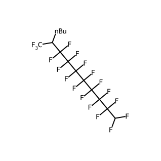 CCCCC(C(F)(F)F)C(F)(F)C(F)(F)C(F)(F)C(F)(F)C(F)(F)C(F)(F)C(F)(F)C(F)F